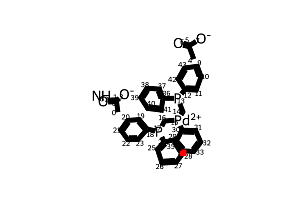 CC(=O)[O-].CC(=O)[O-].N.c1ccc(P([CH2][Pd+2]([CH2]P(c2ccccc2)c2ccccc2)[c]2ccccc2)c2ccccc2)cc1